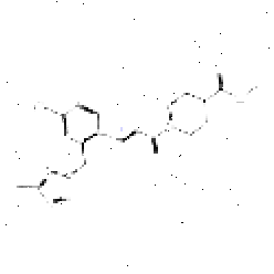 COC(=O)C1CCN(C(=O)/C=C/c2ccc(Cl)cc2Cn2nnc(C)n2)CC1